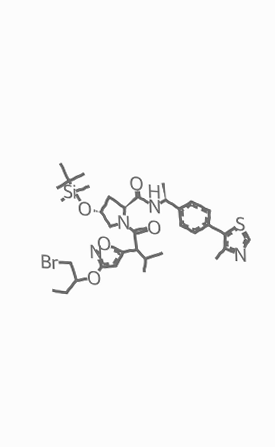 CCC(CBr)Oc1cc(C(C(=O)N2C[C@H](O[Si](C)(C)C(C)(C)C)C[C@H]2C(=O)N[C@@H](C)c2ccc(-c3scnc3C)cc2)C(C)C)on1